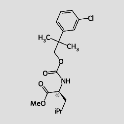 COC(=O)[C@H](CC(C)C)NC(=O)OCC(C)(C)c1cccc(Cl)c1